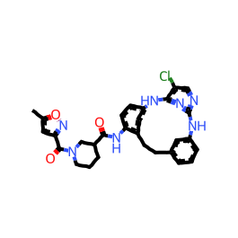 Cc1cc(C(=O)N2CCCC(C(=O)Nc3ccc4cc3CCc3cccc(c3)Nc3ncc(Cl)c(n3)N4)C2)no1